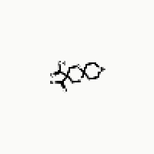 O=C(O)C1(C(=O)O)COC2(CCNCC2)OC1